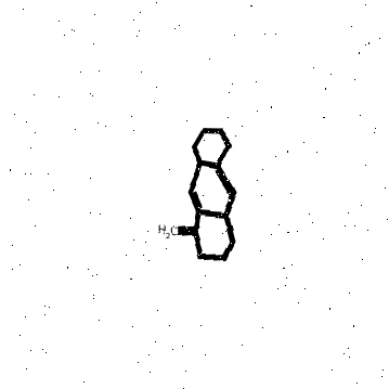 C=C1CCCC2C=C3CCCCC3C=C12